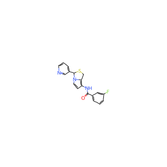 O=C(Nc1ccn2c1CSC2c1cccnc1)c1cccc(F)c1